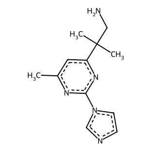 Cc1cc(C(C)(C)CN)nc(-n2ccnc2)n1